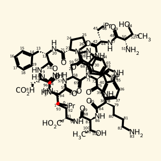 CC(C)C[C@H](NC(=O)[C@H](CC(=O)O)NC(=O)[C@H](Cc1ccccc1)NC(=O)[C@@H]1CCCN1C(=O)[C@H](Cc1c[nH]c2ccccc12)NC(=O)[C@H](CC(C)C)NC(=O)[C@@H](N)[C@@H](C)O)C(=O)N[C@@H](Cc1c[nH]c2ccccc12)C(=O)N[C@@H](CC(C)C)C(=O)N[C@@H](CCCCN)C(=O)N[C@H](C(=O)N[C@@H](CCCNC(=N)N)C(=O)O)[C@@H](C)O